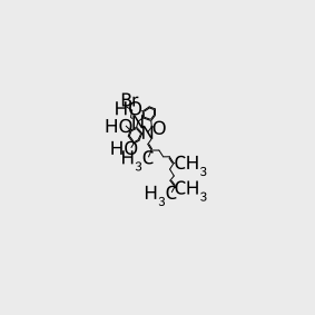 CC(C)=CCCC(C)=CCCC(C)=CCN1C(=O)c2cccc(O)c2N(CCCBr)c2c(O)cc(O)cc21